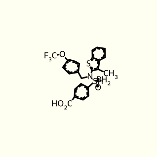 B[SH](=O)(c1ccc(C(=O)O)cc1)N(Cc1ccc(OC(F)(F)F)cc1)c1sc2ccccc2c1C